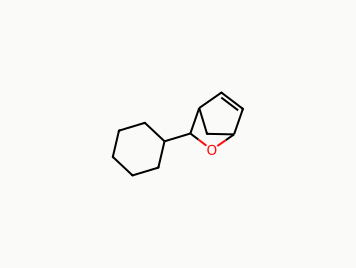 C1=CC2CC1OC2C1CCCCC1